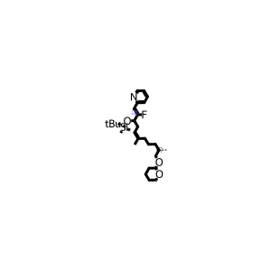 CC(=CCC(O[Si](C)(C)C(C)(C)C)/C(F)=C/c1ccccn1)CCC[C@H](C)COC1CCCCO1